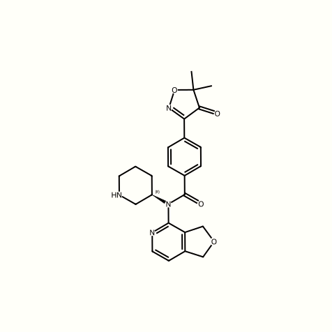 CC1(C)ON=C(c2ccc(C(=O)N(c3nccc4c3COC4)[C@@H]3CCCNC3)cc2)C1=O